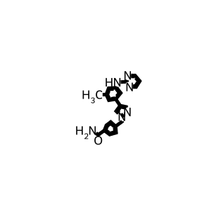 Cc1cc(Nc2ncccn2)cc(-c2cnn(Cc3ccc(C(N)=O)cc3)c2)c1